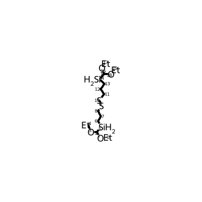 CCOC(OCC)[SiH2]CCCSSCCC[SiH2]C(OCC)OCC